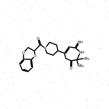 CCCCC1(CCCC)NC(=N)C=C(C2CCN(C(=O)C3COc4ccccc4O3)CC2)CC1=O